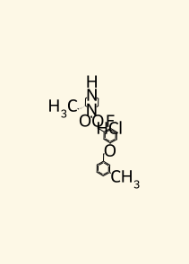 CC[C@@H]1CNCCN1C(=O)OCc1cc(OCc2cccc(C)c2)ccc1F.Cl